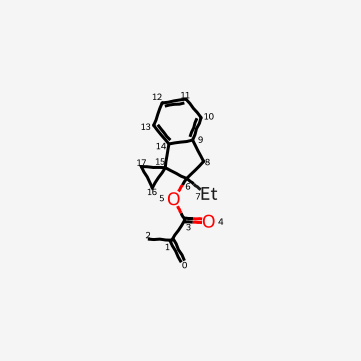 C=C(C)C(=O)OC1(CC)Cc2ccccc2C12CC2